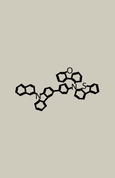 c1ccc2cc(-n3c4ccccc4c4cc(-c5ccc(N(c6cccc7c6sc6ccccc67)c6cccc7oc8ccccc8c67)cc5)ccc43)ccc2c1